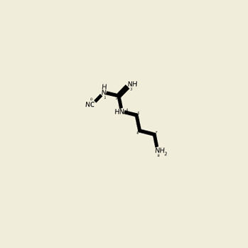 N#CNC(=N)NCCCN